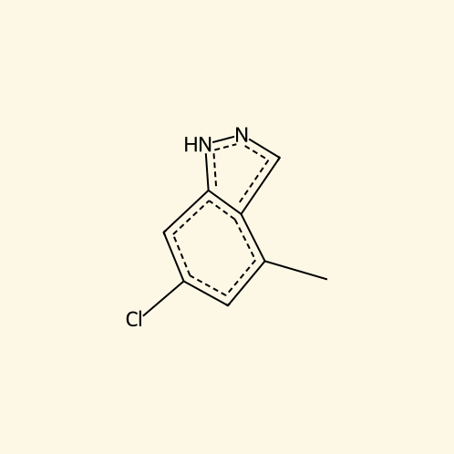 Cc1cc(Cl)cc2[nH]ncc12